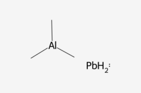 [CH3][Al]([CH3])[CH3].[PbH2]